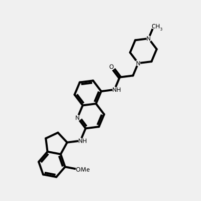 COc1cccc2c1C(Nc1ccc3c(NC(=O)CN4CCN(C)CC4)cccc3n1)CC2